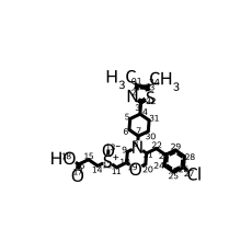 Cc1nc(C2CCC(N3CC(C[S+]([O-])CCC(=O)O)OCC3Cc3ccc(Cl)cc3)CC2)sc1C